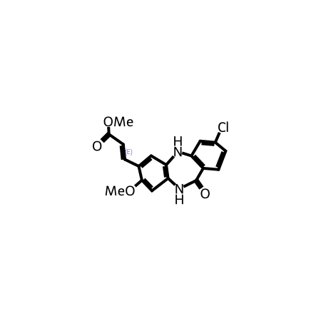 COC(=O)/C=C/c1cc2c(cc1OC)NC(=O)c1ccc(Cl)cc1N2